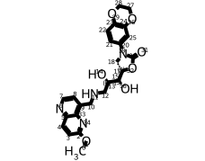 COc1ccc2nccc(CNC[C@@H](O)[C@H](O)[C@@H]3CN(c4ccc5c(c4)OCCO5)C(=O)O3)c2n1